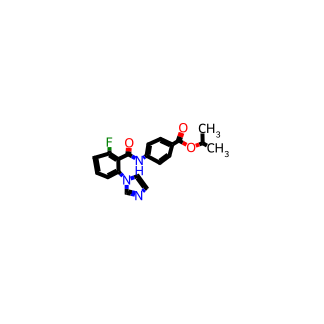 CC(C)OC(=O)c1ccc(NC(=O)c2c(F)cccc2-n2ccnc2)cc1